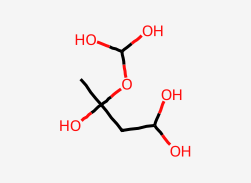 CC(O)(CC(O)O)OC(O)O